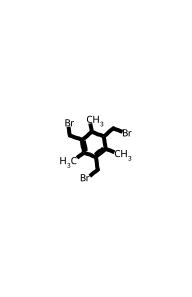 CC1=C(CBr)C(C)C(CBr)C(C)=C1CBr